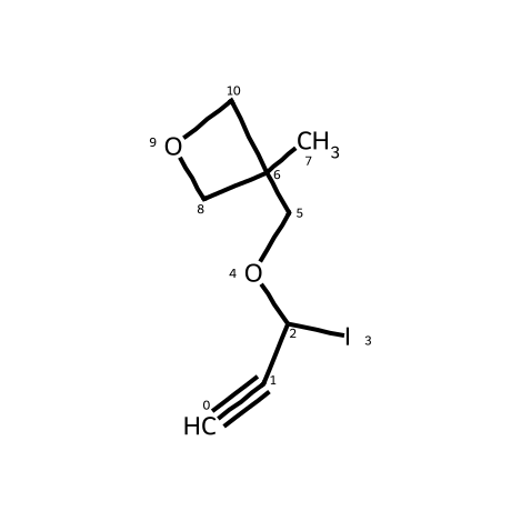 C#CC(I)OCC1(C)COC1